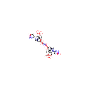 CCOc1cc2c(cc1OC)C(c1ccc(=O)n(C)c1)=N[C@@H]1CC[C@@H](OC(=O)/C=C/C(=O)O[C@@H]3CC[C@H]4N=C(c5ccc(=O)n(C)c5)c5cc(OC)c(OCC)cc5[C@H]4C3)C[C@H]21